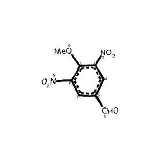 COc1c([N+](=O)[O-])cc(C=O)cc1[N+](=O)[O-]